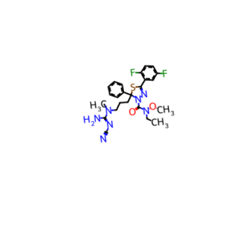 CCN(OC)C(=O)N1N=C(c2cc(F)ccc2F)SC1(CCCN(C)C(N)=NC#N)c1ccccc1